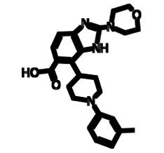 Cc1cccc(N2CCC(c3c(C(=O)O)ccc4nc(N5CCOCC5)[nH]c34)CC2)c1